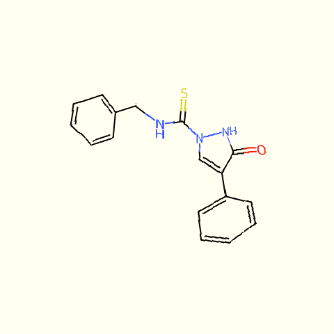 O=c1[nH]n(C(=S)N[CH]c2ccccc2)cc1-c1ccccc1